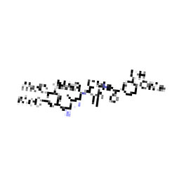 C=C(N/C=C\C(=O)c1ccc(OC)c(O)c1)\C(OC)=C(/C=C(C)/C=C\c1cc(OC)c(OC)c(OC)c1)OC